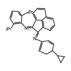 CC(C)c1cccc(C(C)C)c1/N=C1/C(=N/C2=CCC(C3CC3)C=C2)c2cccc3cccc1c23